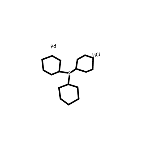 C1CCC(P(C2CCCCC2)C2CCCCC2)CC1.Cl.[Pd]